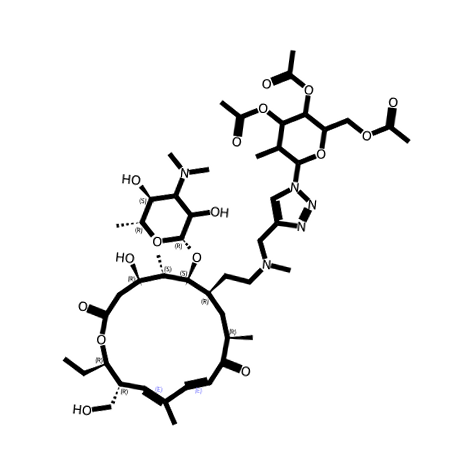 CC[C@H]1OC(=O)C[C@@H](O)[C@H](C)[C@@H](O[C@@H]2O[C@H](C)[C@@H](O)C(N(C)C)C2O)[C@@H](CCN(C)Cc2cn(C3OC(COC(C)=O)C(OC(C)=O)C(OC(C)=O)C3C)nn2)C[C@@H](C)C(=O)/C=C/C(C)=C/[C@@H]1CO